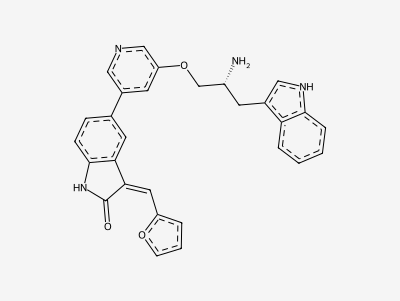 N[C@@H](COc1cncc(-c2ccc3c(c2)C(=Cc2ccco2)C(=O)N3)c1)Cc1c[nH]c2ccccc12